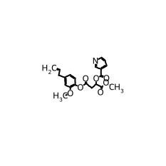 C=CCc1ccc(OC(=O)CC(OC(=O)c2cccnc2)C(=O)OC)c(OC)c1